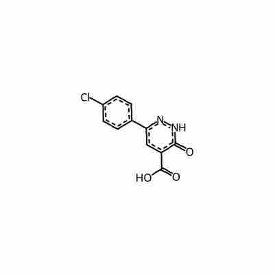 O=C(O)c1cc(-c2ccc(Cl)cc2)n[nH]c1=O